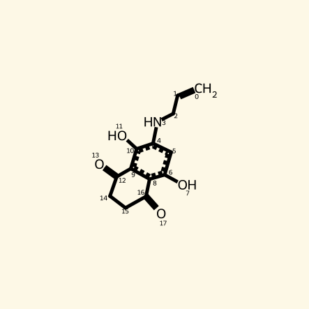 C=CCNc1cc(O)c2c(c1O)C(=O)CCC2=O